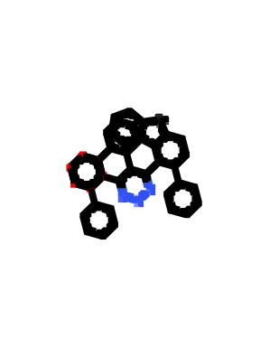 c1ccc(-c2ccccc2-c2nnnc(-c3c(-c4ccccc4)ccc4[se]c5ccccc5c34)c2-c2ccccc2-c2ccccc2)cc1